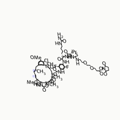 COc1cc2cc(c1Cl)N(C)C(=O)C[C@H](OC(=O)Nc1cc(F)c(NC(=O)[C@H](CCCCNC(N)=O)NC(=O)[C@@H](NC(=S)NCCOCCOCCC(=O)ON3C(=O)CCC3=O)C(C)C)cc1F)[C@]1(C)O[C@H]1[C@H](C)[C@@H]1C[C@@](O)(NC(=O)O1)[C@H](OC)/C=C/C=C(\C)C2